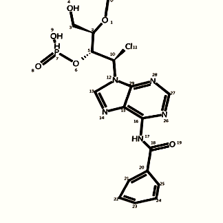 CO[C@H](CO)[C@@H](O[PH](=O)O)[C@@H](Cl)n1cnc2c(NC(=O)c3ccccc3)ncnc21